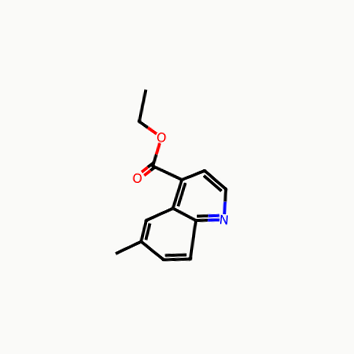 CCOC(=O)c1ccnc2ccc(C)cc12